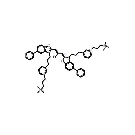 CCC(/C=C1\Oc2ccc(-c3ccccc3)cc2N1CCCc1ccc[n+](CCC[N+](C)(C)C)c1)=C\c1oc2ccc(-c3ccccc3)cc2[n+]1CCCc1ccc[n+](CCC[N+](C)(C)C)c1